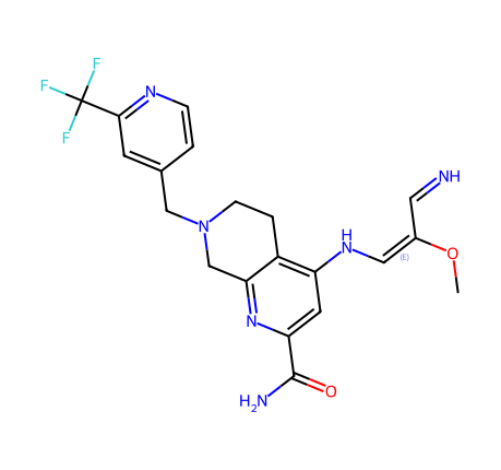 CO/C(C=N)=C/Nc1cc(C(N)=O)nc2c1CCN(Cc1ccnc(C(F)(F)F)c1)C2